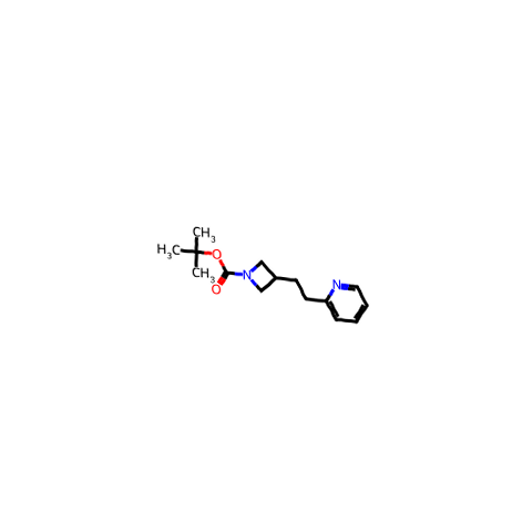 CC(C)(C)OC(=O)N1CC(CCc2ccccn2)C1